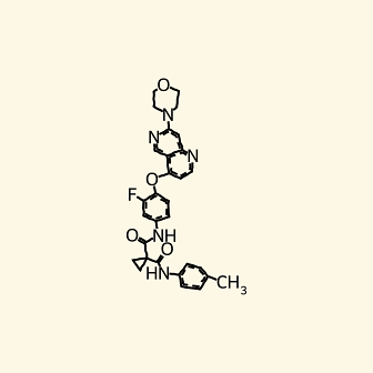 Cc1ccc(NC(=O)C2(C(=O)Nc3ccc(Oc4ccnc5cc(N6CCOCC6)ncc45)c(F)c3)CC2)cc1